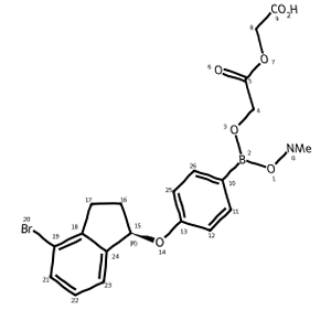 CNOB(OCC(=O)OCC(=O)O)c1ccc(O[C@@H]2CCc3c(Br)cccc32)cc1